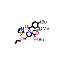 C=CCOC[C@@H]1C[C@@](CC(C)C)(C(=O)OC(C)(C)C)N(C(=O)c2ccc(C(C)(C)C)c(OC)c2)[C@H]1c1nccs1